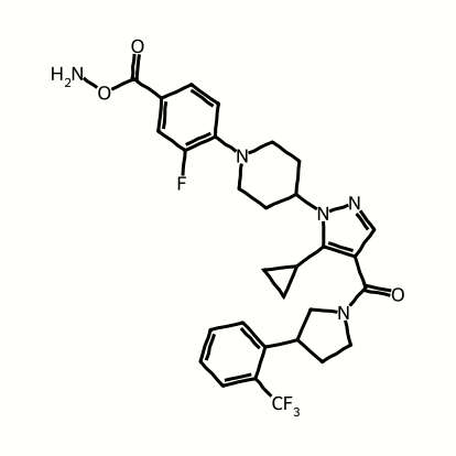 NOC(=O)c1ccc(N2CCC(n3ncc(C(=O)N4CCC(c5ccccc5C(F)(F)F)C4)c3C3CC3)CC2)c(F)c1